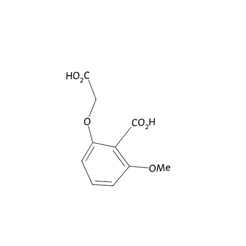 COc1cccc(OCC(=O)O)c1C(=O)O